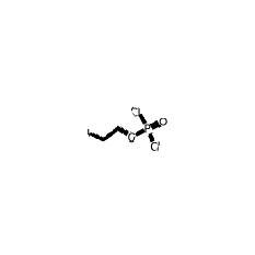 O=P(Cl)(Cl)OCCI